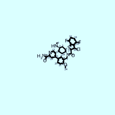 CN[C@H]1CC[C@H](N(Cc2cc(-c3ccnc(C(N)=O)c3)ccc2OC)C(=O)c2sc3c(F)ccc(F)c3c2Cl)CC1